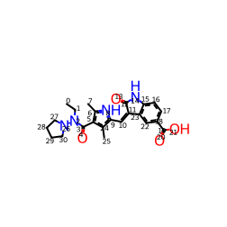 CCN(C(=O)c1c(C)[nH]c(C=C2C(=O)Nc3ccc(C(=O)O)cc32)c1C)N1CCCC1